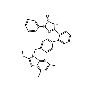 CCc1nc2c(C)cc(C)nc2n1Cc1ccc(-c2ccccc2C2=NN(c3ccccc3)[S+]([O-])N2)cc1